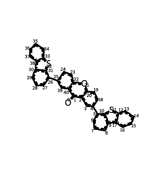 O=c1c2cc(-c3cccc4c3sc3ccccc34)ccc2oc2ccc(-c3cccc4c3sc3ccccc34)cc12